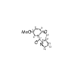 COc1ccc2c(c1)C(=O)c1ncccc1CO2